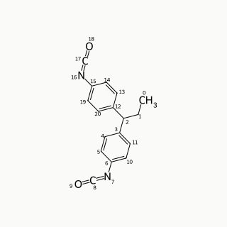 CCC(c1ccc(N=C=O)cc1)c1ccc(N=C=O)cc1